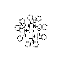 C1=CC2OC(N3c4cc(N(c5cc6ccccc6o5)c5oc6ccccc6c5-c5ccccc5)cc5c4B(c4c3oc3ccccc43)c3c(oc4ccccc34)N5C3=C(c4ccccc4)C4C=CC=CC4O3)=C(c3ccccc3)C2C=C1